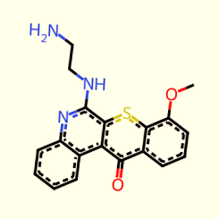 COc1cccc2c(=O)c3c(sc12)c(NCCN)nc1ccccc13